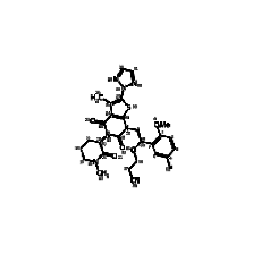 COc1ccc(F)cc1[C@H](Cn1c(=O)n([C@@H]2CCCN(C)C2=O)c(=O)c2c(C)c(-n3nccn3)sc21)OCCC#N